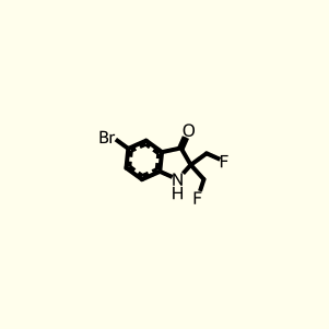 O=C1c2cc(Br)ccc2NC1(CF)CF